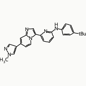 Cn1cc(-c2ccn3c(-c4cccc(Nc5ccc(C(C)(C)C)cc5)n4)cnc3c2)cn1